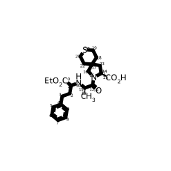 CCOC(=O)C(CCc1ccccc1)N[C@@H](C)C(=O)N1CC2(CCSCC2)C[C@H]1C(=O)O